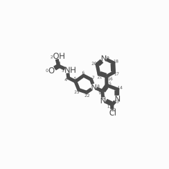 O=C(O)NCC1CCN(c2nc(Cl)ncc2-c2ccncc2)CC1